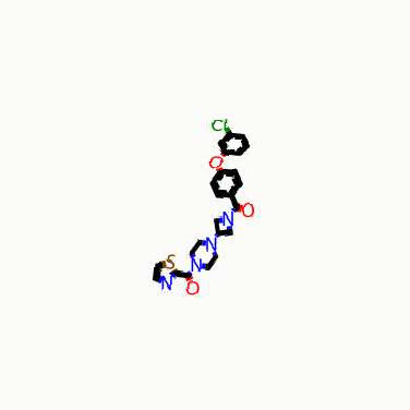 O=C(c1ccc(Oc2cccc(Cl)c2)cc1)N1CC(N2CCN(C(=O)c3nccs3)CC2)C1